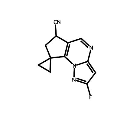 N#CC1CC2(CC2)c2c1cnc1cc(F)nn21